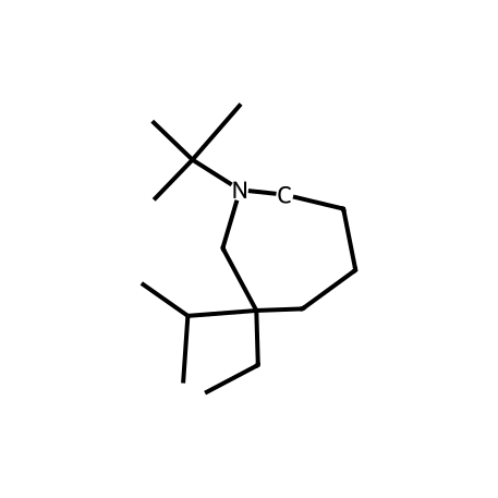 CCC1(C(C)C)CCCCN(C(C)(C)C)C1